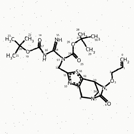 C=CCON1C(=O)N2Cc3nc(CN(C(=N)NC(=O)OC(C)(C)C)C(=O)OC(C)(C)C)sc3C1C2